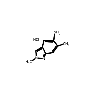 Cc1cc2nn(C)cc2cc1N.Cl